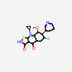 COc1c(-c2cccnc2)c(F)cc2c(=O)c3c(=O)[nH]sc3n(C3CC3)c12